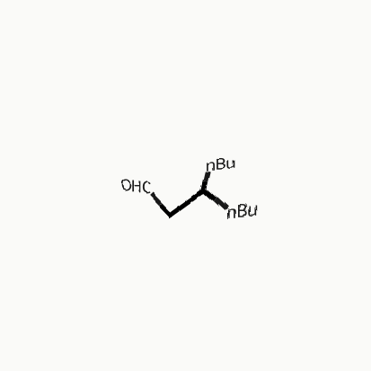 CCCCC(CC=O)CCCC